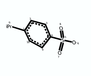 CC(C)c1ccc(S([O])(=O)=O)cc1